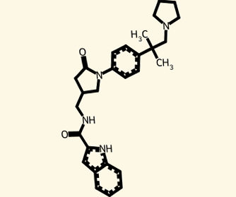 CC(C)(CN1CCCC1)c1ccc(N2CC(CNC(=O)c3cc4ccccc4[nH]3)CC2=O)cc1